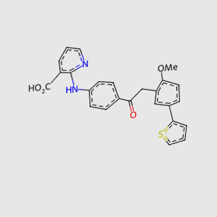 COc1ccc(-c2cccs2)cc1CC(=O)c1ccc(Nc2ncccc2C(=O)O)cc1